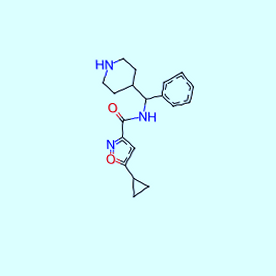 O=C(NC(c1ccccc1)C1CCNCC1)c1cc(C2CC2)on1